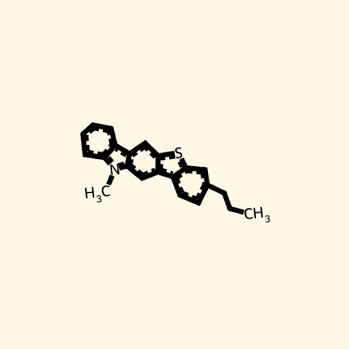 CCCc1ccc2c(c1)sc1cc3c4ccccc4n(C)c3cc12